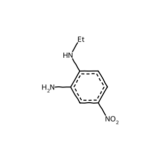 CCNc1ccc([N+](=O)[O-])cc1N